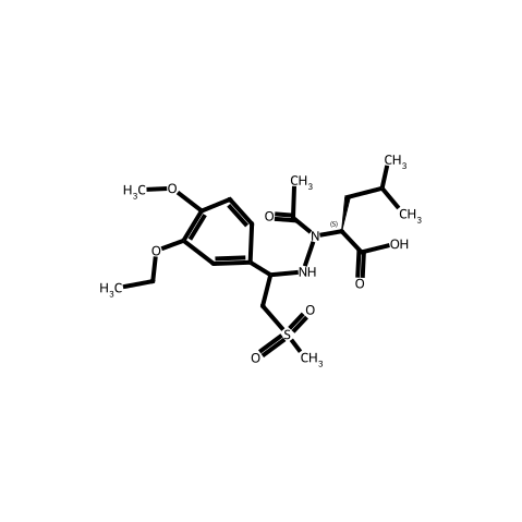 CCOc1cc(C(CS(C)(=O)=O)NN(C(C)=O)[C@@H](CC(C)C)C(=O)O)ccc1OC